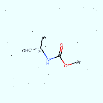 CC(C)OC(=O)N[C@H](C=O)C(C)C